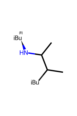 CCC(C)C(C)C(C)N[C@H](C)CC